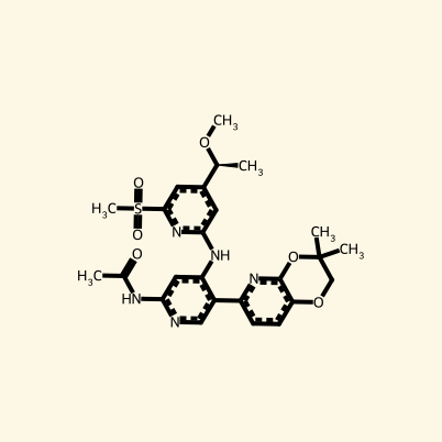 CO[C@@H](C)c1cc(Nc2cc(NC(C)=O)ncc2-c2ccc3c(n2)OC(C)(C)CO3)nc(S(C)(=O)=O)c1